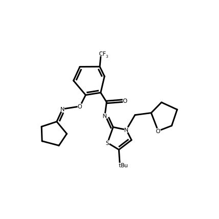 CC(C)(C)c1cn(CC2CCCO2)c(=NC(=O)c2cc(C(F)(F)F)ccc2ON=C2CCCC2)s1